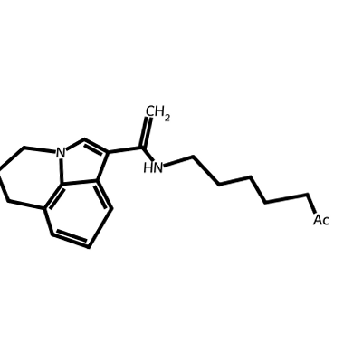 C=C(NCCCCCC(C)=O)c1cn2c3c(cccc13)CCC2